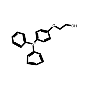 OCCOc1ccc([S+](c2ccccc2)c2ccccc2)cc1